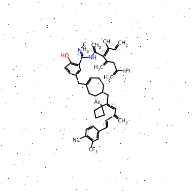 C=C/C(C)=C(\C(=C)CC(=C)CCC)C(=C)N/C(=N\C)c1cc(CC2=CCCC(C/C(=C/C(=C)/C=C/c3ccc(C#N)c(C(F)(F)F)c3)C3(C(C)=O)CCC3)CC2)ccc1O